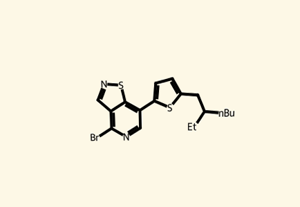 CCCCC(CC)Cc1ccc(-c2cnc(Br)c3cnsc23)s1